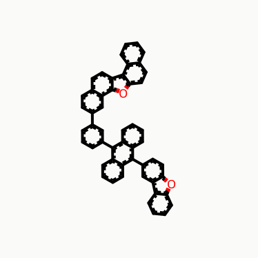 c1cc(-c2ccc3ccc4c(oc5ccc6ccccc6c54)c3c2)cc(-c2c3ccccc3c(-c3ccc4oc5ccccc5c4c3)c3ccccc23)c1